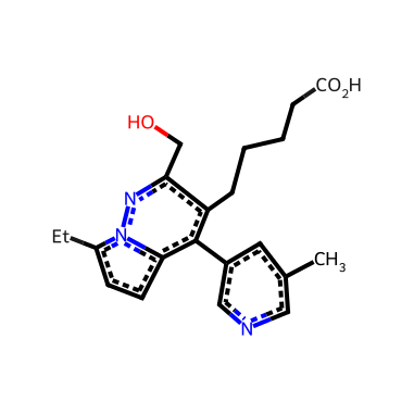 CCc1ccc2c(-c3cncc(C)c3)c(CCCCC(=O)O)c(CO)nn12